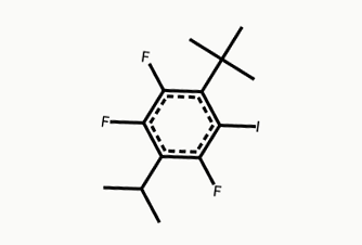 CC(C)c1c(F)c(F)c(C(C)(C)C)c(I)c1F